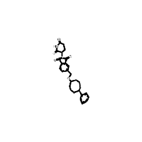 O=C1CCC(N2C(=O)c3ccc(COC4CCCC(c5ccccc5)CCC4)cc3C2=O)C(=O)N1